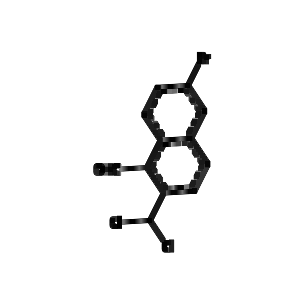 O=Cc1c(C(Cl)Cl)ccc2cc(Br)ccc12